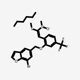 CCCCCC.CSC(=Cc1ccc(C(F)(F)F)cc1OCc1cc(Br)c2occc2c1)[S+](C)[O-]